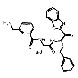 CCC(C)[C@H](NC(=O)c1cccc(CN)c1)C(=O)N[C@@H](CCc1ccccc1)C(=O)c1nc2ccccc2o1